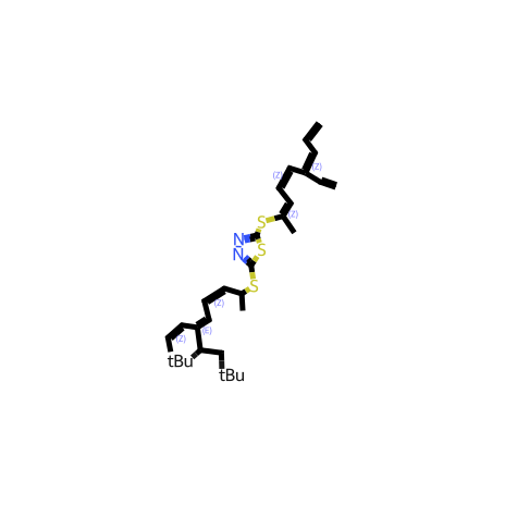 C=C\C=C(C=C)/C=C\C=C(\C)Sc1nnc(SC(C)\C=C/C=C(\C=C/C)C(CC(C)(C)C)C(C)(C)C)s1